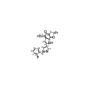 CCCCn1c(=O)n(CC(C)C)c(=O)c2[nH]c(-c3cnn(Cc4ccccc4F)c3)cc21